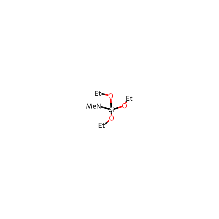 CCO[Si](NC)(OCC)OCC